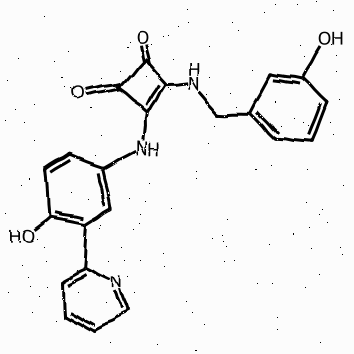 O=c1c(NCc2cccc(O)c2)c(Nc2ccc(O)c(-c3ccccn3)c2)c1=O